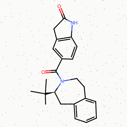 CC(C)(C)[C@@H]1Cc2ccccc2CCN1C(=O)c1ccc2c(c1)CC(=O)N2